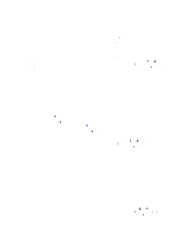 COC(=O)c1cc2c(Br)cnc(NCc3ccc(OC)cc3OC)c2s1